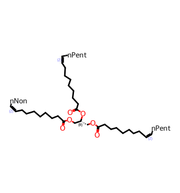 CCCCC/C=C\CCCCCCCC(=O)OC[C@H](COC(=O)CCCCCCC/C=C\CCCCCCCCC)OC(=O)CCCCCCC/C=C\CCCCC